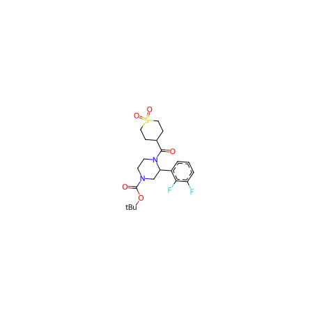 CC(C)(C)OC(=O)N1CCN(C(=O)C2CCS(=O)(=O)CC2)C(c2cccc(F)c2F)C1